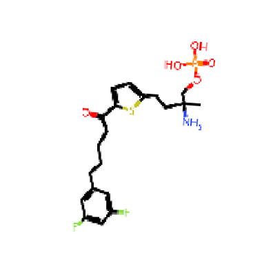 CC(N)(CCc1ccc(C(=O)CCCCc2cc(F)cc(F)c2)s1)COP(=O)(O)O